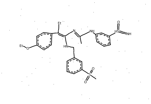 CCOc1ccc(/C(CC)=C(/N=C(\C)Nc2cccc([SH](=N)=O)c2)NCc2cccc(S(C)(=O)=O)c2)cc1